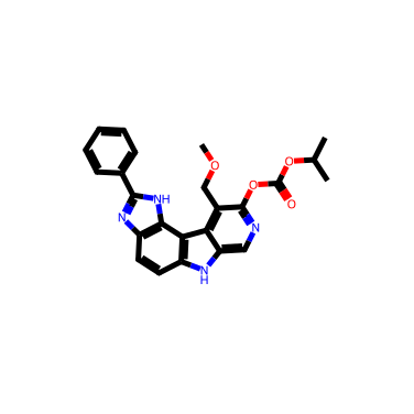 COCc1c(OC(=O)OC(C)C)ncc2[nH]c3ccc4nc(-c5ccccc5)[nH]c4c3c12